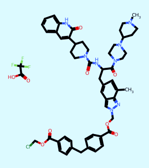 Cc1cc(CC(NC(=O)N2CCC(c3cc4ccccc4[nH]c3=O)CC2)C(=O)N2CCN(C3CCN(C)CC3)CC2)cc2cn(COC(=O)c3ccc(Cc4ccc(C(=O)OCCl)cc4)cc3)nc12.O=C(O)C(F)(F)F